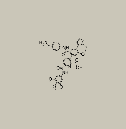 COc1cc(NC(=O)c2ccc(-c3cc4c(cc3C(=O)Nc3ccc(CN)cc3)-c3sccc3CCO4)c(C(=O)O)n2)cc(OC)c1OC